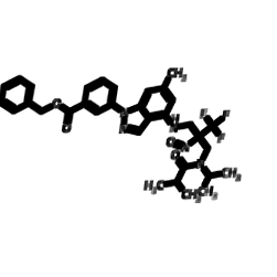 Cc1cc(NCC(CN(C(=O)C(C)C)C(C)C)(N=O)C(F)(F)F)c2cnn(-c3cccc(C(=O)OCc4ccccc4)c3)c2c1